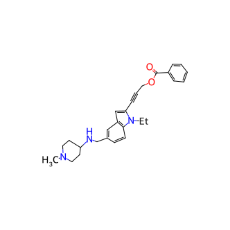 CCn1c(C#CCOC(=O)c2ccccc2)cc2cc(CNC3CCN(C)CC3)ccc21